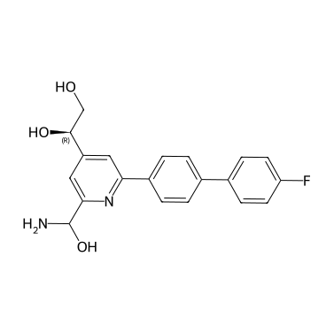 NC(O)c1cc([C@@H](O)CO)cc(-c2ccc(-c3ccc(F)cc3)cc2)n1